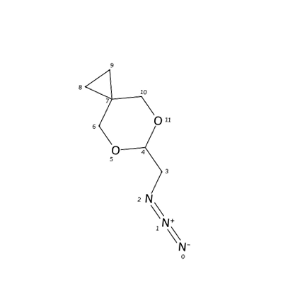 [N-]=[N+]=NCC1OCC2(CC2)CO1